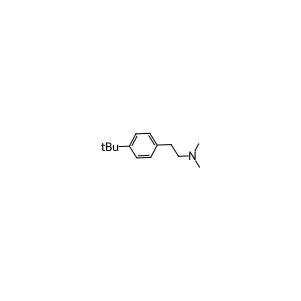 CN(C)CCc1ccc(C(C)(C)C)cc1